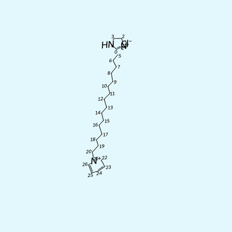 C1=NCCN1.CCCCCCCCCCCCCCCC[n+]1ccccc1.[Cl-]